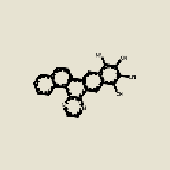 N#Cc1c(C#N)c(C#N)c2cc3c(cc2c1C#N)c1ccc2ccccc2c1c1nccnc31